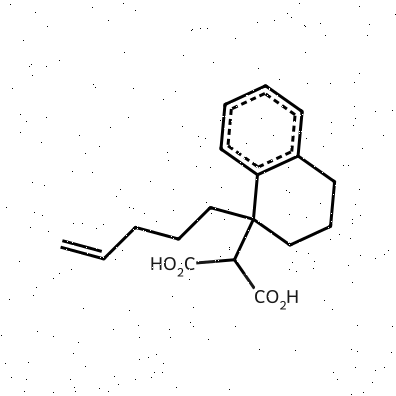 C=CCCCC1(C(C(=O)O)C(=O)O)CCCc2ccccc21